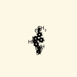 COC(=O)c1cccc(-c2cnc3[nH]c4ccc(NS(=O)(=O)c5ccsc5)cc4c3c2-c2ccccc2)c1